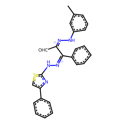 Cc1cccc(N/N=C(C=O)\C(=N/Nc2nc(-c3ccccc3)cs2)c2ccccc2)c1